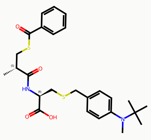 C[C@H](CSC(=O)c1ccccc1)C(=O)N[C@@H](CSCc1ccc(N(C)C(C)(C)C)cc1)C(=O)O